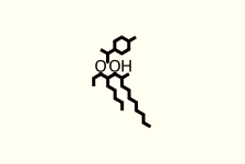 CCCCCCCCC(C)C(O)C(CCCCC)C(CC)OCC(C)C1CCC(C)CC1